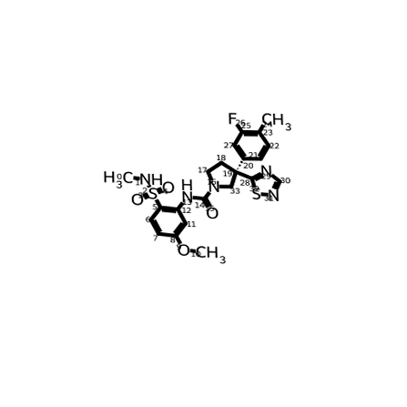 CNS(=O)(=O)c1ccc(OC)cc1NC(=O)N1CC[C@@](c2ccc(C)c(F)c2)(c2ncns2)C1